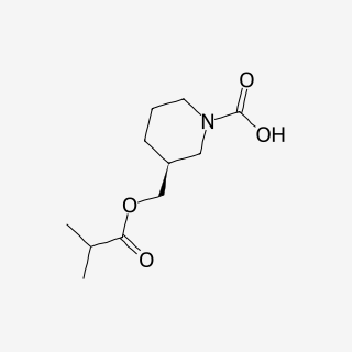 CC(C)C(=O)OC[C@H]1CCCN(C(=O)O)C1